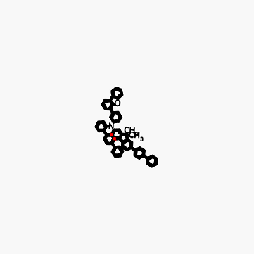 CC1(C)c2cc(-c3ccc(-c4ccccc4)cc3)ccc2-c2ccc(N(c3cccc(-c4cccc5c4oc4ccccc45)c3)c3ccccc3-c3ccc(-c4ccccc4)cc3)cc21